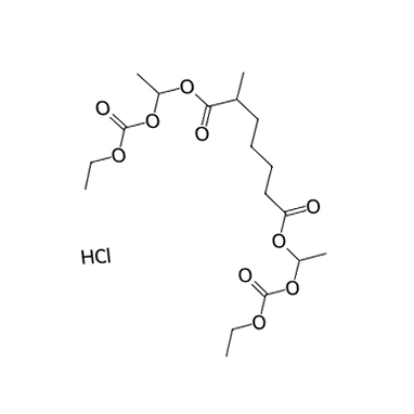 CCOC(=O)OC(C)OC(=O)CCCCC(C)C(=O)OC(C)OC(=O)OCC.Cl